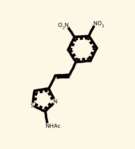 CC(=O)Nc1nc(C=Cc2ccc([N+](=O)[O-])c([N+](=O)[O-])c2)cs1